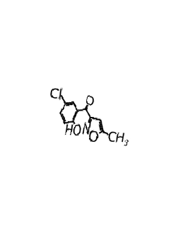 Cc1cc(C(=O)c2cc(Cl)ccc2O)no1